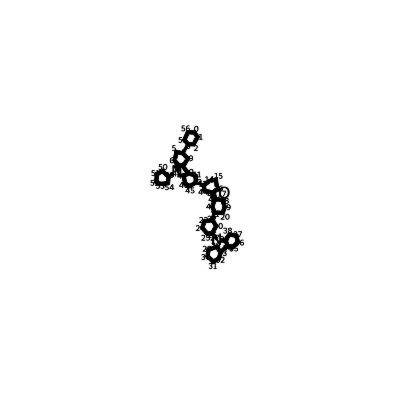 c1ccc(-c2ccc3c(c2)c2cc(-c4ccc5oc6ccc(-c7cccc(-n8c9ccccc9c9ccccc98)c7)cc6c5c4)ccc2n3-c2ccccc2)cc1